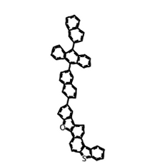 c1ccc2cc(-c3c4ccccc4c(-c4ccc5cc(-c6ccc7oc8c(ccc9c8ccc8sc%10ccccc%10c89)c7c6)ccc5c4)c4ccccc34)ccc2c1